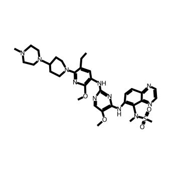 CCc1cc(Nc2ncc(OC)c(Nc3ccc4nccnc4c3N(C)S(C)(=O)=O)n2)c(OC)nc1N1CCC(N2CCN(C)CC2)CC1